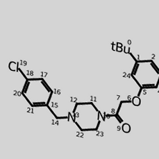 CC(C)(C)c1cccc(OCC(=O)N2CCN(Cc3ccc(Cl)cc3)CC2)c1